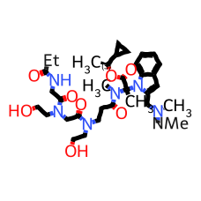 CCC(=O)NCC(=O)N(CCO)CC(=O)N(CCO)CCC(=O)N(C)C(C)(C(=O)O[C@@H](C)C1CC1)n1c(CN(C)NC)cc2ccccc21